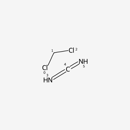 ClCCl.N=C=N